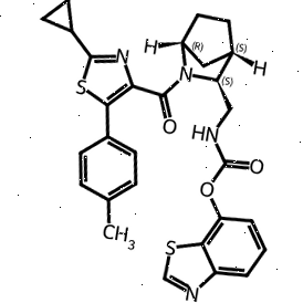 Cc1ccc(-c2sc(C3CC3)nc2C(=O)N2[C@@H]3CC[C@@H](C3)[C@H]2CNC(=O)Oc2cccc3ncsc23)cc1